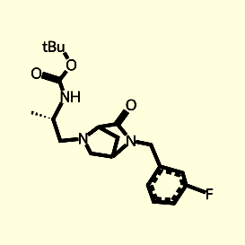 C[C@@H](CN1CC2CC1C(=O)N2Cc1cccc(F)c1)NC(=O)OC(C)(C)C